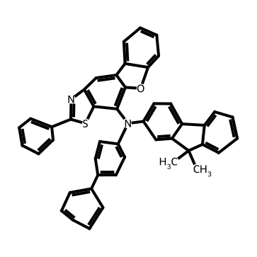 CC1(C)c2ccccc2-c2ccc(N(c3ccc(-c4ccccc4)cc3)c3c4oc5ccccc5c4cc4nc(-c5ccccc5)sc34)cc21